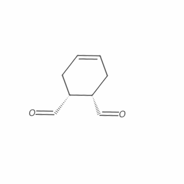 O=C[C@@H]1CC=CC[C@@H]1C=O